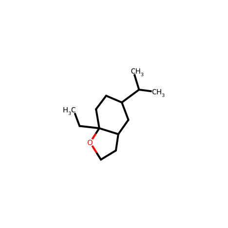 CCC12CCC(C(C)C)CC1CCO2